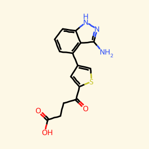 Nc1n[nH]c2cccc(-c3csc(C(=O)CCC(=O)O)c3)c12